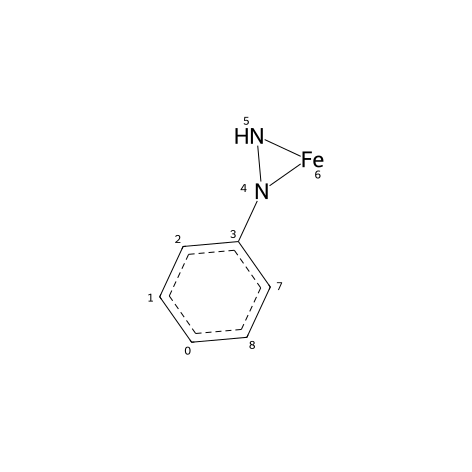 c1ccc([N]2[NH][Fe]2)cc1